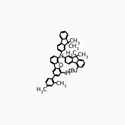 Cc1ccc(-c2cc(C(C)C)c3oc4c(N(c5ccc6c(c5)C(C)(C)c5ccccc5-6)c5ccc6c(c5)C(C)(C)c5cccc(C(C)(C)C)c5-6)cccc4c3c2)c(C)c1